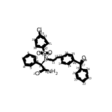 NC(=O)[C@@H](c1ccccc1)N(CCc1ccc(C(=O)c2ccccc2)cc1)S(=O)(=O)c1ccc(Cl)cc1